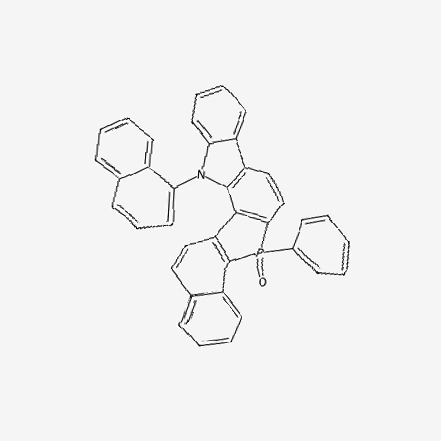 O=P1(c2ccccc2)c2ccc3c4ccccc4n(-c4cccc5ccccc45)c3c2-c2ccc3ccccc3c21